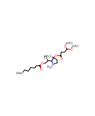 CCCCCCCCCCCCCCCC(=O)OCC(CC)C1N(C)CCC1(OC(=O)CCC(OCCCCCCCC)OCCCCCCCC)C(=O)O